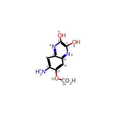 Nc1cc2nc(O)c(O)nc2cc1OC(=O)O